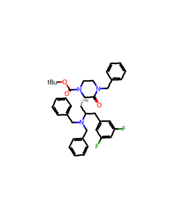 CC(C)(C)OC(=O)N1CCN(Cc2ccccc2)C(=O)[C@@H]1CC(Cc1cc(F)cc(F)c1)N(Cc1ccccc1)Cc1ccccc1